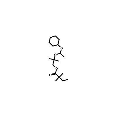 CCC(C)(C)C(=O)OCC(C)(C)OC(C)OC1CCCCC1